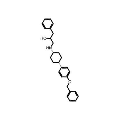 OC(CN[C@H]1CC[C@@H](c2ccc(OCc3ccccc3)cc2)CC1)Cc1ccccc1